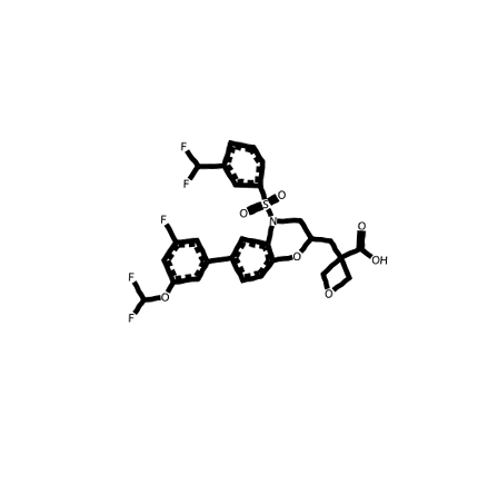 O=C(O)C1(CC2CN(S(=O)(=O)c3cccc(C(F)F)c3)c3cc(-c4cc(F)cc(OC(F)F)c4)ccc3O2)COC1